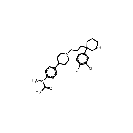 CC(=O)N(C)c1ccc(C2CCN(CCCC3(c4ccc(Cl)c(Cl)c4)CCCNC3)CC2)cc1